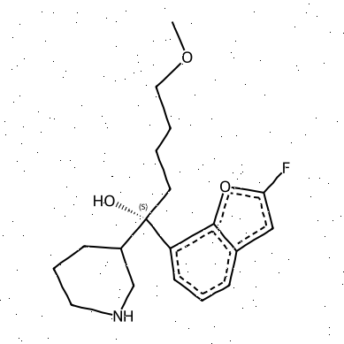 COCCCC[C@@](O)(c1cccc2cc(F)oc12)C1CCCNC1